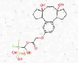 O=C(COc1ccc2c(c1)C1CCCC1(O)CCC1(O)CCCC21)OC(O)C(F)(F)S(=O)(=O)O